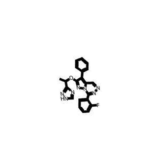 CC(Oc1nn2c(-c3ccccc3F)nncc2c1-c1ccccc1)c1nc[nH]n1